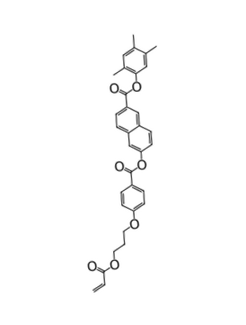 C=CC(=O)OCCCOc1ccc(C(=O)Oc2ccc3cc(C(=O)Oc4cc(C)c(C)cc4C)ccc3c2)cc1